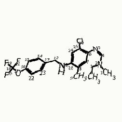 CCN(C)/C=N\c1cc(C)c(NCc2ccc(OC(F)(F)F)cc2)cc1Cl